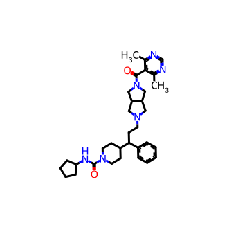 Cc1ncnc(C)c1C(=O)N1CC2CN(CCC(c3ccccc3)C3CCN(C(=O)NC4CCCC4)CC3)CC2C1